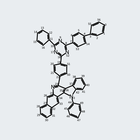 c1ccc(-c2ccc(-c3nc(-c4ccccc4)nc(-c4ccc(-c5nc6cc7ccccc7cc6c6c5c5ccccc5n6-c5ccccc5)cc4)n3)cc2)cc1